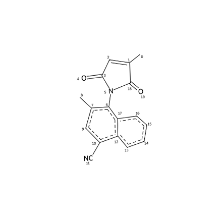 CC1=CC(=O)N(c2c(C)cc(C#N)c3ccccc23)C1=O